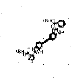 CC(C)(C)OC(=O)N1CCCC[C@H]1c1nc2cc(C#Cc3ccc4nc([C@@H]5CSCN5C(=O)OC(C)(C)C)[nH]c4c3)ccc2[nH]1